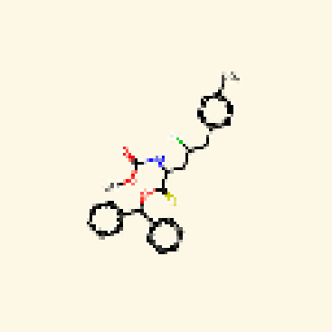 CC(C)(C)OC(=O)NC(CC(Cl)Cc1ccc([N+](=O)[O-])cc1)C(=S)OC(c1ccccc1)c1ccccc1